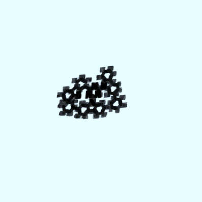 c1ccc(-c2ccc3c4ccccc4n(-c4nc(-c5cccc6c5sc5ccccc56)nc(-n5c6ccccc6c6ccc(-c7ccccc7)cc65)n4)c3c2)cc1